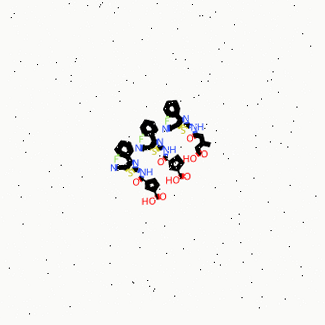 CC(CC(=O)O)CC(=O)Nc1nc(-c2ccccc2F)c(C#N)s1.N#Cc1sc(NC(=O)[C@@H]2CC[C@@H](C(=O)O)C2)nc1-c1ccccc1F.N#Cc1sc(NC(=O)[C@H]2CC[C@@H](C(=O)O)C2)nc1-c1ccccc1F